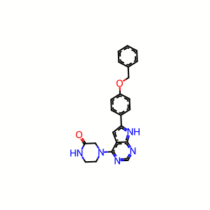 O=C1CN(c2ncnc3[nH]c(-c4ccc(OCc5ccccc5)cc4)cc23)CCN1